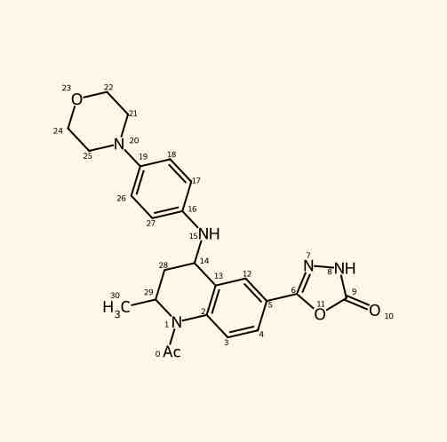 CC(=O)N1c2ccc(-c3n[nH]c(=O)o3)cc2C(Nc2ccc(N3CCOCC3)cc2)CC1C